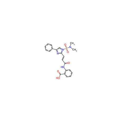 CN(C)S(=O)(=O)n1cc(-c2ccccc2)nc1C=CC(=O)Nc1ccccc1C(=O)O